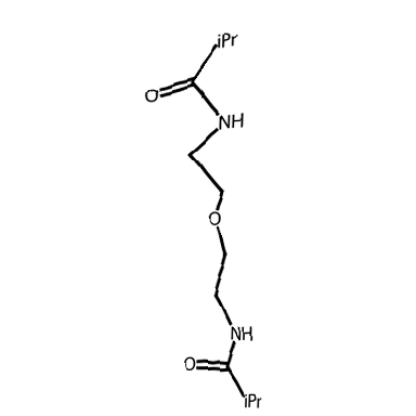 CC(C)C(=O)NCCOCCNC(=O)C(C)C